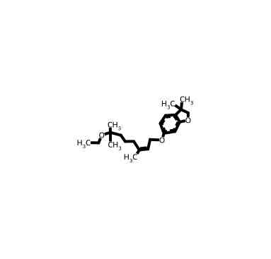 CCOC(C)(C)CCCC(C)=CCOc1ccc2c(c1)OCC2(C)C